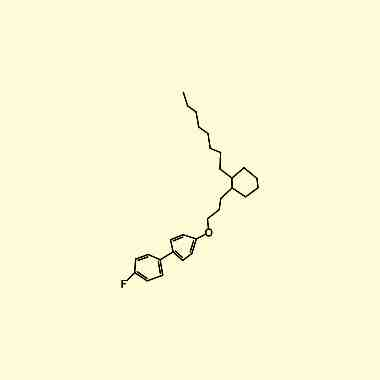 CCCCCCCCC1CCCCC1CCCOc1ccc(-c2ccc(F)cc2)cc1